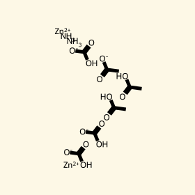 CC(=O)O.CC(=O)O.CC(=O)[O-].N.N.O=C([O-])O.O=C([O-])O.O=C([O-])O.[Zn+2].[Zn+2]